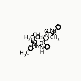 Cc1ccc(-n2nc(C(C)(C)C)cc2NC(=O)Nc2ccccc2CC2CCN(C(=O)c3nn(-c4ccccc4)nc3C)CC2)cc1